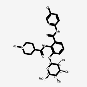 CC(C)N1CCC(C(=O)Nc2c(O[C@@H]3O[C@H](C(=O)O)[C@@H](O)[C@H](O)[C@H]3O)cccc2C(=O)Nc2ccc(Cl)cn2)CC1